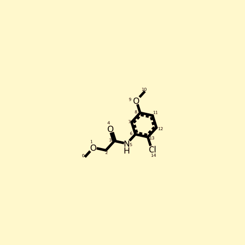 COCC(=O)Nc1cc(OC)ccc1Cl